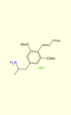 C=C/C=C/c1c(OC)cc(CC(C)N)cc1OC.Cl